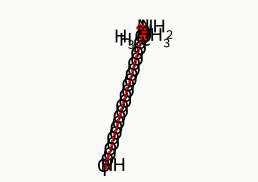 CCOCc1nc2c(N)nc3ccccc3c2n1CC(C)(C)OCCOCCOCCOCCOCCOCCOCCOCCOCCOCCOCCOCCOCCOCCOCCOCCOCCOCCOCCOCCOCCOCCOCCOCCNC(=O)CI